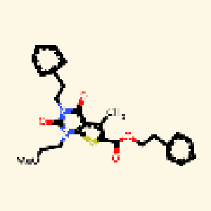 COCCn1c(=O)n(CCc2ccccc2)c(=O)c2c(C)c(C(=O)OCCc3ccccc3)sc21